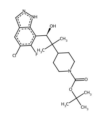 CC(C)(C)OC(=O)N1CCC(C(C)(C)[C@H](O)c2c(F)c(Cl)cc3cn[nH]c23)CC1